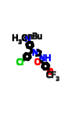 CCCCN(C)c1ccc(C(c2ccc(Cl)cc2)N2CC[C@@H](NC(=O)c3ccc(OC(F)(F)F)cc3)C2)cc1